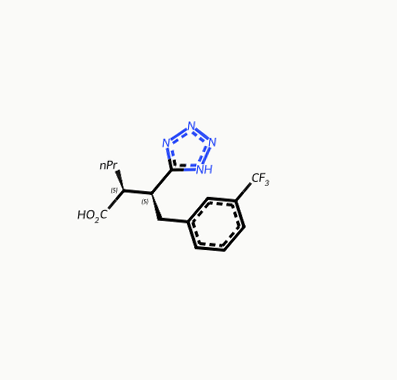 CCC[C@H](C(=O)O)[C@H](Cc1cccc(C(F)(F)F)c1)c1nnn[nH]1